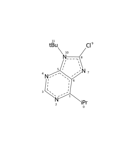 CC(C)c1ncnc2c1nc(Cl)n2C(C)(C)C